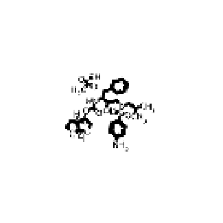 CC(C)CN(CC(O)C(Cc1ccccc1)NC(=O)O[C@H]1CO[C@H]2OCC[C@H]21)S(=O)(=O)c1ccc(N)cc1.CS(=O)(=O)O